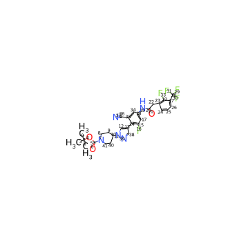 CC(C)(C)OC(=O)N1CCC(n2cc(-c3c(F)cc(NC(=O)Cc4cccc(C(F)(F)F)c4F)cc3C#N)cn2)CC1